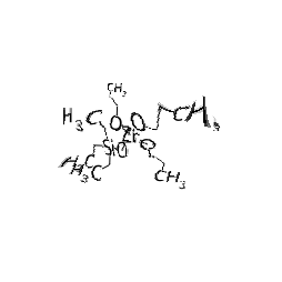 CCC[O][Zr]([O]CCC)([O]CCC)[O][Si](CC)(CC)CC